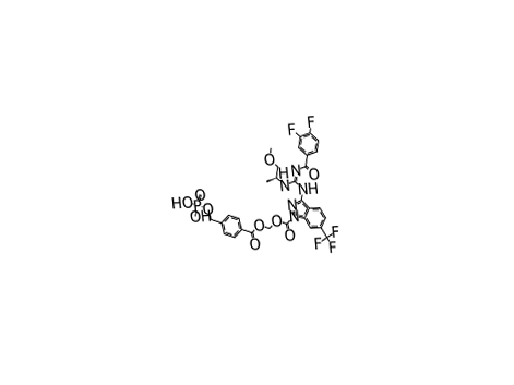 COC[C@H](C)NC(=NC(=O)c1ccc(F)c(F)c1)Nc1nn(C(=O)OCOC(=O)c2ccc(COP(=O)(O)O)cc2)c2cc(C(F)(F)F)ccc12